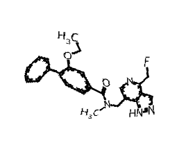 CCOc1cc(C(=O)N(C)Cc2cnc(CF)c3cn[nH]c23)ccc1-c1ccccc1